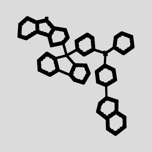 c1ccc(N(c2ccc(-c3ccc4ccccc4c3)cc2)c2cccc(C3(c4ccc5sc6ccccc6c5c4)c4ccccc4-c4ccccc43)c2)cc1